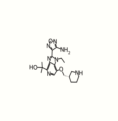 CCn1c(-c2nonc2N)nc2c(C(C)(C)O)ncc(OC[C@H]3CCCNC3)c21